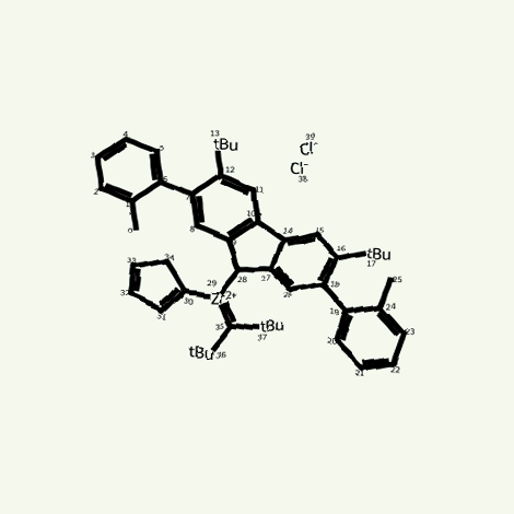 Cc1ccccc1-c1cc2c(cc1C(C)(C)C)-c1cc(C(C)(C)C)c(-c3ccccc3C)cc1[CH]2[Zr+2]([C]1=CC=CC1)=[C](C(C)(C)C)C(C)(C)C.[Cl-].[Cl-]